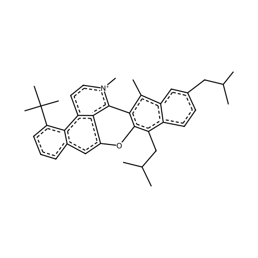 Cc1c2c(c(CC(C)C)c3ccc(CC(C)C)cc13)Oc1cc3cccc(C(C)(C)C)c3c3cc[n+](C)c-2c13